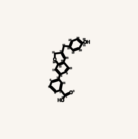 O=C(O)c1cccc(-c2ccc3c(c2)OCC(Cc2ccc(O)cc2)=C3)c1